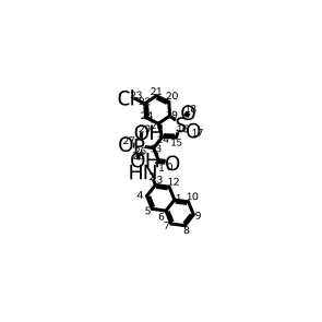 O=C(Nc1ccc2ccccc2c1)C(C1=CS(=O)(=O)C2C=CC(Cl)=CC12)P(=O)(O)O